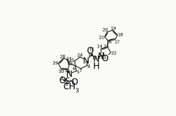 CS(=O)(=O)N1CC2(CCN(C(=O)NN3C=C(c4ccccc4)CO3)CC2)c2ccccc21